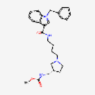 CC(C)(C)OC(=O)NC[C@H]1CCN(CCCCNC(=O)c2cn(Cc3ccccc3)c3ccccc23)C1